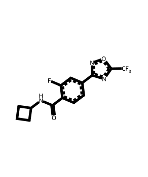 O=C(NC1CCC1)c1ccc(-c2noc(C(F)(F)F)n2)cc1F